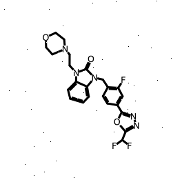 O=c1n(CCN2CCOCC2)c2ccccc2n1Cc1ccc(-c2nnc(C(F)F)o2)cc1F